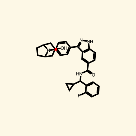 O=C(NC(c1ccccc1F)C1CC1)c1ccc2[nH]nc(-c3ccc(N4C5CCC4CC(O)C5)cc3)c2c1